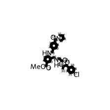 COC(=O)c1ccc(NCc2ccc(C(=O)N3CC=CC3)cc2)c(CNCC(=O)OC(C)C(=O)c2ccc(Cl)cc2)c1